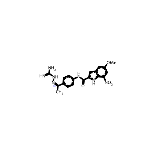 COc1cc([N+](=O)[O-])c2[nH]c(C(=O)Nc3ccc(/C(C)=N\NC(=N)N)cc3)cc2c1